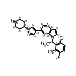 C[C@H](c1c(Cl)ccc(F)c1Cl)n1ccc2ncc(-c3cnn(C4CCNCC4)c3)cc21